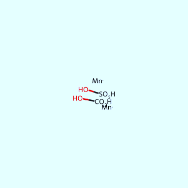 O=C(O)O.O=S(=O)(O)O.[Mn].[Mn]